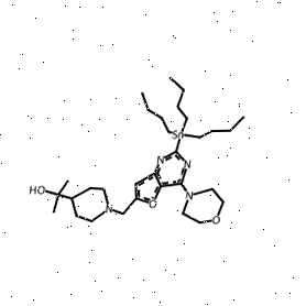 CCC[CH2][Sn]([CH2]CCC)([CH2]CCC)[c]1nc(N2CCOCC2)c2oc(CN3CCC(C(C)(C)O)CC3)cc2n1